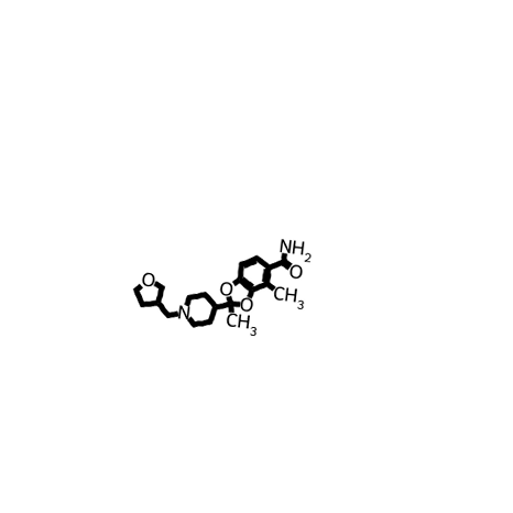 Cc1c(C(N)=O)ccc2c1OC(C)(C1CCN(CC3CCOC3)CC1)O2